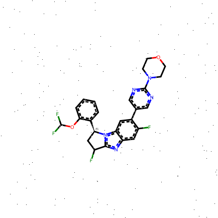 Fc1cc2nc3n(c2cc1-c1cnc(N2CCOCC2)nc1)[C@H](c1ccccc1OC(F)F)CC3F